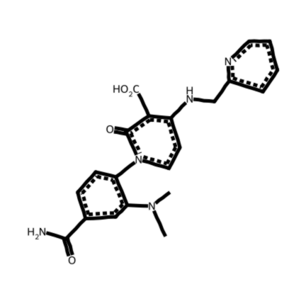 CN(C)c1cc(C(N)=O)ccc1-n1ccc(NCc2ccccn2)c(C(=O)O)c1=O